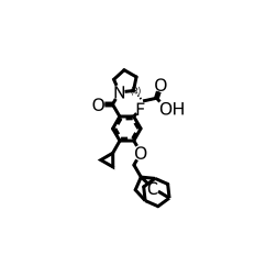 O=C(O)C[C@H]1CCCN1C(=O)c1cc(C2CC2)c(OCC23CC4CC(CC2C4)C3)cc1F